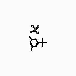 Cc1cc(C)cc(C(C)(C)C)c1.O=S(=O)(Cl)Cl